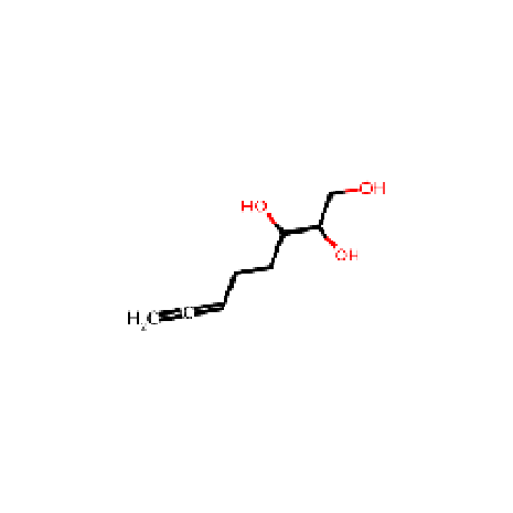 C=C=CCCC(O)C(O)CO